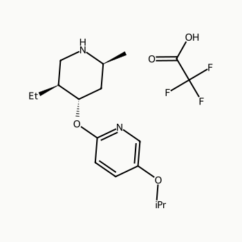 CC[C@H]1CN[C@@H](C)C[C@@H]1Oc1ccc(OC(C)C)cn1.O=C(O)C(F)(F)F